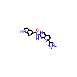 Cn1cc(-c2ccc3cnc(NC(=O)c4ccc5[nH]ccc5c4)cc3n2)cn1